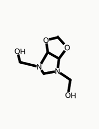 OCN1CN(CO)C2O[CH]OC21